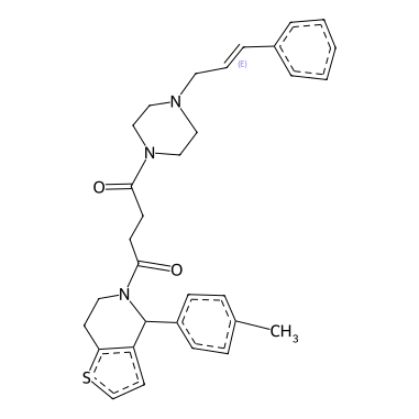 Cc1ccc(C2c3ccsc3CCN2C(=O)CCC(=O)N2CCN(C/C=C/c3ccccc3)CC2)cc1